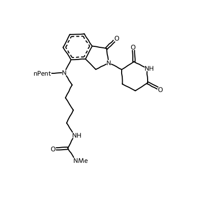 CCCCCN(CCCCNC(=O)NC)c1cccc2c1CN(C1CCC(=O)NC1=O)C2=O